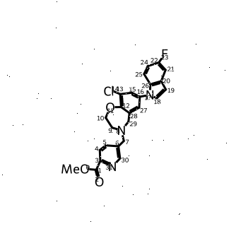 COC(=O)c1ccc(CN2CCOc3c(Cl)cc(-n4ccc5cc(F)ccc54)cc3C2)cn1